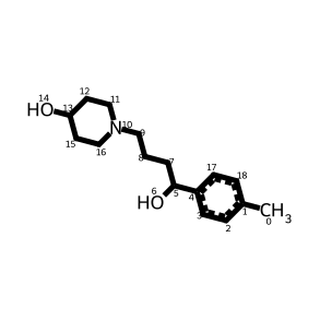 Cc1ccc(C(O)CCCN2CCC(O)CC2)cc1